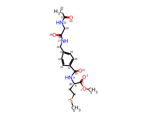 COC(=O)[C@@H](CCSC)NC(=O)c1ccc(CNC(=O)CNC(C)=O)cc1